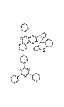 c1ccc(-c2nc(-c3ccccc3)nc(-c3ccc(-c4ccc5nc(-c6ccccc6)c6cc7c(cc6c5c4)C4(c5ccccc5Sc5ccccc54)c4ccccc4-7)cc3)n2)cc1